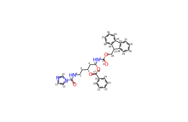 O=C(NC(CCCCNC(=O)n1ccnc1)OC(=O)c1ccccc1)OCC1c2ccccc2-c2ccccc21